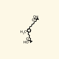 Cc1cc(CCCCCCC2(C(=O)O)CC2)ccc1CCCCC1(C(=O)O)CC1